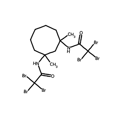 CC1(NC(=O)C(Br)(Br)Br)CCCCCC(C)(NC(=O)C(Br)(Br)Br)C1